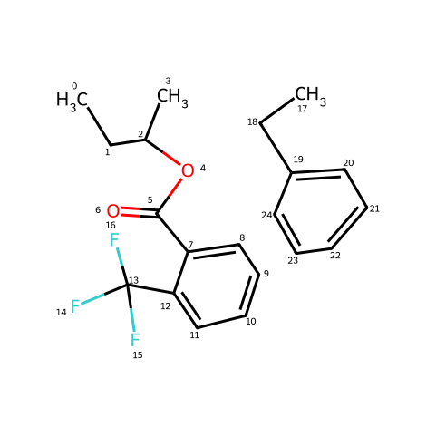 CCC(C)OC(=O)c1ccccc1C(F)(F)F.CCc1ccccc1